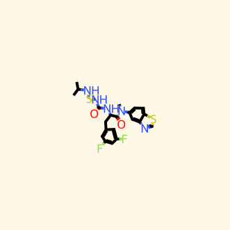 CC(C)NSNC(=O)NC(Cc1cc(F)cc(F)c1)C(=O)N(C)c1ccc2scnc2c1